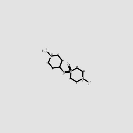 CCN1CCS(=O)(=NC2CCN(C)CC2)CC1